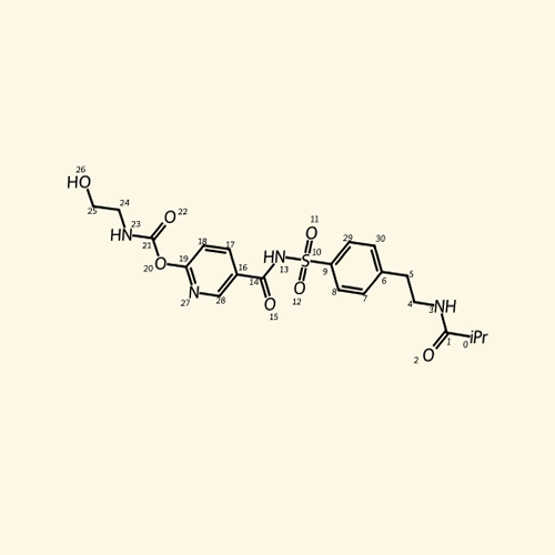 CC(C)C(=O)NCCc1ccc(S(=O)(=O)NC(=O)c2ccc(OC(=O)NCCO)nc2)cc1